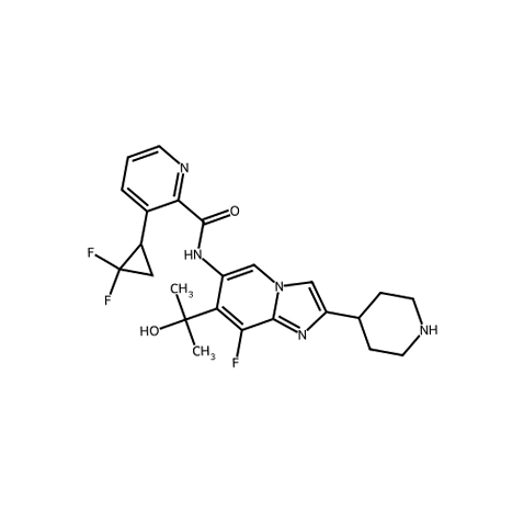 CC(C)(O)c1c(NC(=O)c2ncccc2C2CC2(F)F)cn2cc(C3CCNCC3)nc2c1F